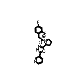 O=S(=O)(Cc1ccc(F)cc1F)N1CCCC1c1nnc(-c2cccnc2)o1